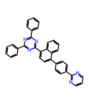 c1ccc(-c2nc(-c3ccccc3)nc(-c3ccc(-c4ccc(-c5ncccn5)cc4)c4ccccc34)n2)cc1